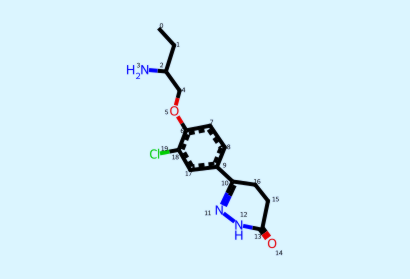 CCC(N)COc1ccc(C2=NNC(=O)CC2)cc1Cl